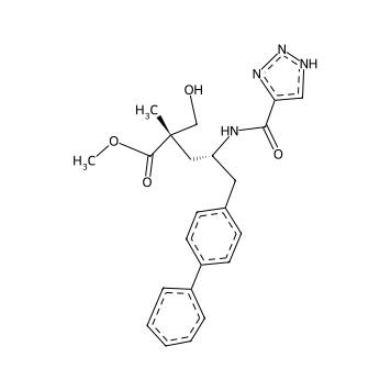 COC(=O)[C@](C)(CO)C[C@@H](Cc1ccc(-c2ccccc2)cc1)NC(=O)c1c[nH]nn1